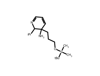 CC(C)C1N=CC=CC1(N)CCCO[Si](C)(C)C(C)(C)C